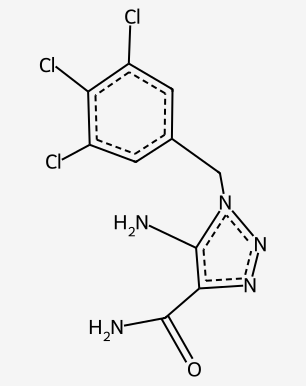 NC(=O)c1nnn(Cc2cc(Cl)c(Cl)c(Cl)c2)c1N